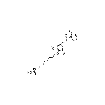 COc1cc(/C=C/C(=O)N2CCC=CC2=O)cc(OC)c1OCCCCCCCCNC(=O)O